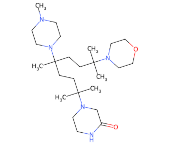 CN1CCN(C(C)(CCC(C)(C)N2CCOCC2)CCC(C)(C)N2CCNC(=O)C2)CC1